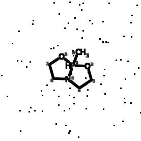 C[PH]12OCCN1CCO2